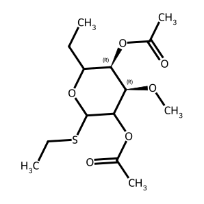 CCSC1OC(CC)[C@@H](OC(C)=O)[C@@H](OC)C1OC(C)=O